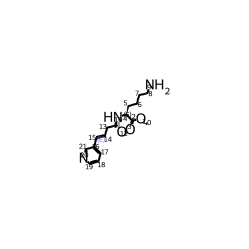 COC(=O)[C@H](CCCCN)NC(=O)C/C=C/c1cccnc1